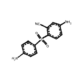 N#Cc1cc(N)ccc1S(=O)(=O)c1ccc(N)cc1